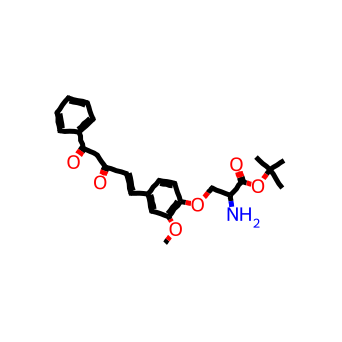 COc1cc(/C=C/C(=O)CC(=O)c2ccccc2)ccc1OCC(N)C(=O)OC(C)(C)C